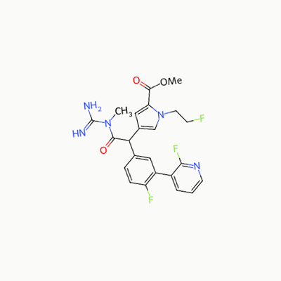 COC(=O)c1cc(C(C(=O)N(C)C(=N)N)c2ccc(F)c(-c3cccnc3F)c2)cn1CCF